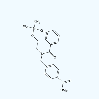 COC(=O)c1ccc(CN(CCO[Si](C)(C)C(C)(C)C)C(=O)c2ccccc2)cc1